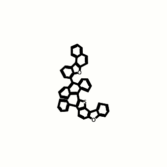 c1ccc(-c2c(-c3c4ccccc4c(-c4cccc5c4oc4ccc6ccccc6c45)c4ccccc34)sc3c2ccc2oc4ccccc4c23)cc1